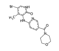 Cc1c(Br)c[nH]c(=O)c1Nc1ccc(C(=O)N2CCOCC2)cn1